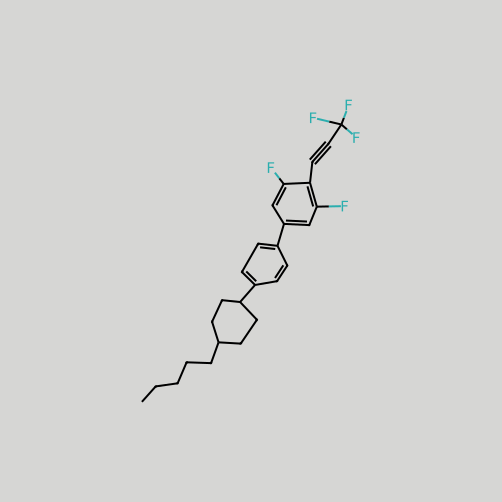 CCCCCC1CCC(c2ccc(-c3cc(F)c(C#CC(F)(F)F)c(F)c3)cc2)CC1